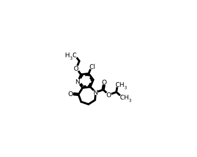 CCOc1nc2c(cc1Cl)N(C(=O)OC(C)C)CCCC2=O